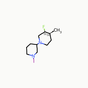 C[C@H]1CCN(C2CCCN(I)C2)C[C@H]1F